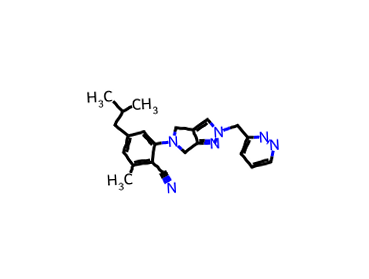 Cc1cc(CC(C)C)cc(N2Cc3cn(Cc4cccnn4)nc3C2)c1C#N